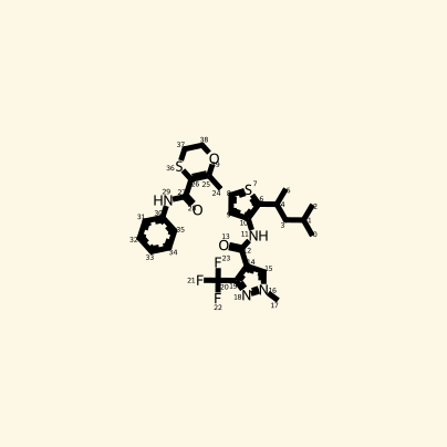 CC(C)CC(C)c1sccc1NC(=O)c1cn(C)nc1C(F)(F)F.CC1=C(C(=O)Nc2ccccc2)SCCO1